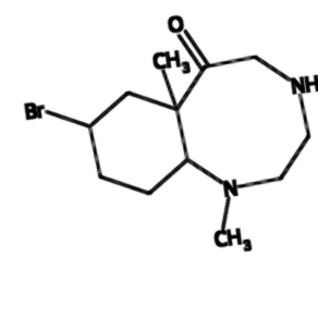 CN1CCNCC(=O)C2(C)CC(Br)CCC12